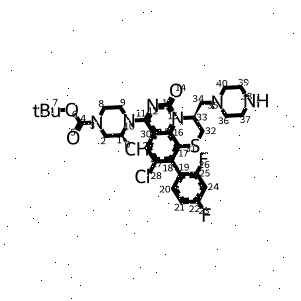 C[C@H]1CN(C(=O)OC(C)(C)C)CCN1c1nc(=O)n2c3c(c(-c4ccc(F)cc4F)c(Cl)cc13)SC[C@@H]2CN1CCNCC1